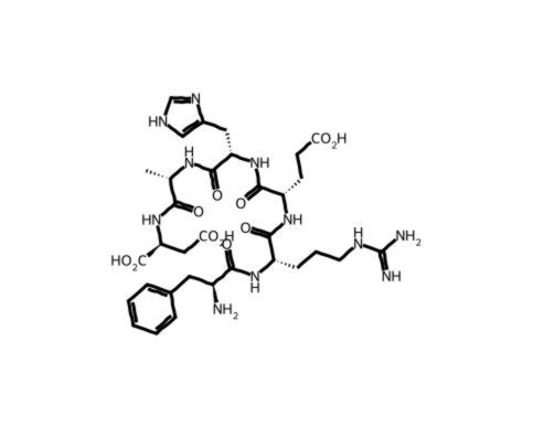 C[C@H](NC(=O)[C@H](Cc1c[nH]cn1)NC(=O)[C@H](CCC(=O)O)NC(=O)[C@H](CCCNC(=N)N)NC(=O)[C@@H](N)Cc1ccccc1)C(=O)N[C@@H](CC(=O)O)C(=O)O